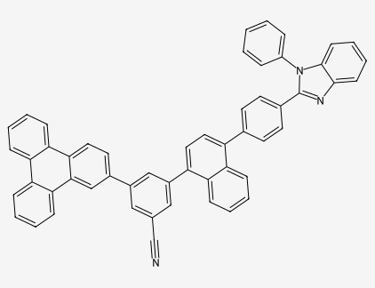 N#Cc1cc(-c2ccc3c4ccccc4c4ccccc4c3c2)cc(-c2ccc(-c3ccc(-c4nc5ccccc5n4-c4ccccc4)cc3)c3ccccc23)c1